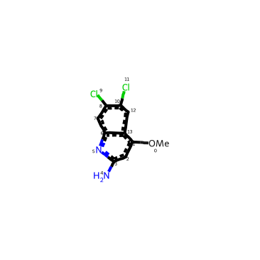 COc1cc(N)nc2cc(Cl)c(Cl)cc12